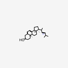 CC(C)/C=C/C(C)C1CCC2C3=CC=C4C[C@@H](O)CC[C@]4(C)C3CC[C@@]21C